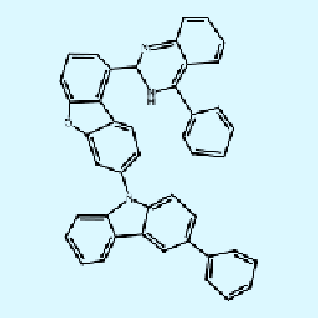 c1ccc(C2=c3ccccc3=NC(c3cccc4oc5cc(-n6c7ccccc7c7cc(-c8ccccc8)ccc76)ccc5c34)N2)cc1